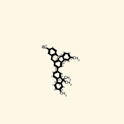 CCC(C)c1ccc2c(c1)Cc1cc(-c3ccc4c(c3)C(C)(C)c3cc(C)ccc3-4)cc3c4cc(C)ccc4n-2c13